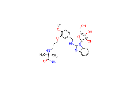 CCOc1ccc(CNc2nc3ccccc3n2[C@@H]2O[C@H](CO)[C@@H](O)[C@H]2O)cc1OCCCNC(C)(C)C(N)=O